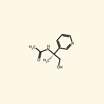 CC(=O)N[C@](C)(CO)c1cccnc1